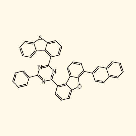 c1ccc(-c2nc(-c3cccc4oc5c(-c6ccc7ccccc7c6)cccc5c34)nc(-c3cccc4sc5ccccc5c34)n2)cc1